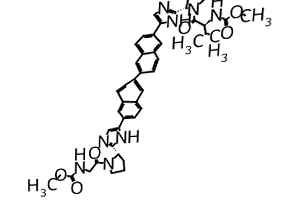 COC(=O)NCC(=O)N1CCC[C@H]1c1ncc(-c2ccc3cc(-c4ccc5cc(-c6cnc([C@@H]7CCCN7C(=O)[C@@H](NC(=O)OC)C(C)C)[nH]6)ccc5c4)ccc3c2)[nH]1